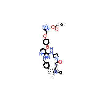 COc1ccc(Cn2nc(NC3CCN(C(=O)/C=C/CN(C)C4CC4)C3)c3c(Oc4ccc(OCc5cnnn5COC(=O)C(C)(C)C)cc4)ccnc32)cc1